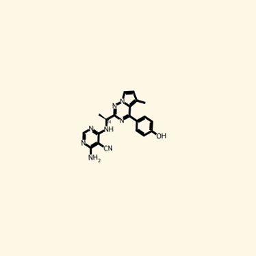 Cc1ccn2nc([C@H](C)Nc3ncnc(N)c3C#N)nc(-c3ccc(O)cc3)c12